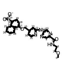 COCCNC(=O)c1cnc(Nc2cc(COc3ccc([N+](=O)[O-])c4ccccc34)ccn2)cn1